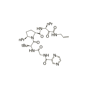 C=CCNC(=O)C(=O)[C@H](CCC)NC(=O)[C@@H]1CC[C@H](CCC)N1C(=O)[C@@H](NC(=O)CNC(=O)c1cnccn1)C(C)(C)C